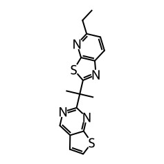 CCc1ccc2nc(C(C)(C)c3ncc4ccsc4n3)sc2n1